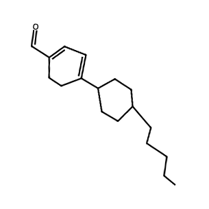 CCCCCC1CCC(C2=CC=C(C=O)CC2)CC1